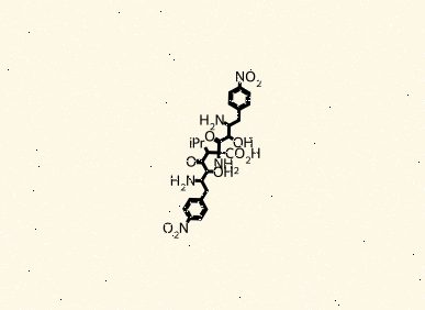 CC(C)C(C(=O)C(O)C(N)Cc1ccc([N+](=O)[O-])cc1)[C@](N)(C(=O)O)C(=O)C(O)C(N)Cc1ccc([N+](=O)[O-])cc1